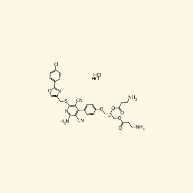 Cl.Cl.N#Cc1c(N)nc(SCc2coc(-c3ccc(Cl)cc3)n2)c(C#N)c1-c1ccc(OC[C@@H](COC(=O)CCN)OC(=O)CCN)cc1